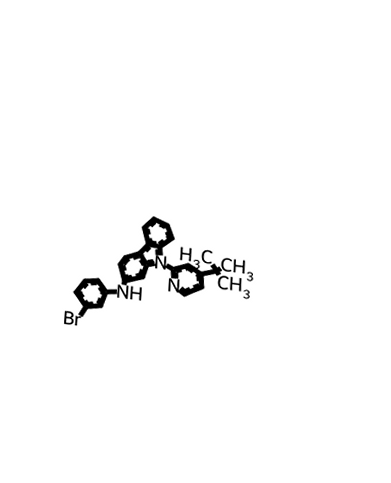 CC(C)(C)c1ccnc(-n2c3ccccc3c3ccc(Nc4cccc(Br)c4)cc32)c1